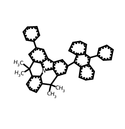 CC1(C)c2cccc3c2-n2c4c1cc(-c1ccccc1)cc4c1cc(-c4c5ccccc5c(-c5ccccc5)c5ccccc45)cc(c12)C3(C)C